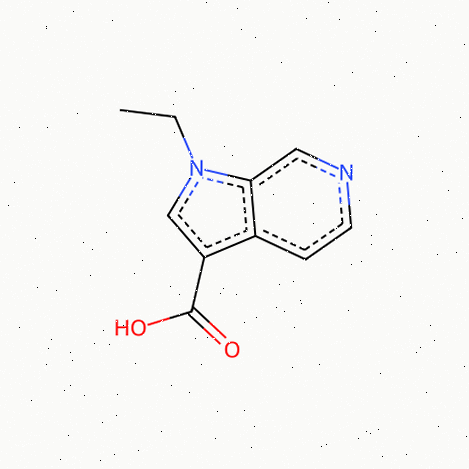 CCn1cc(C(=O)O)c2ccncc21